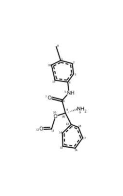 Cc1ccc(NC(=O)[C@](N)(OC=O)c2ccccc2)cc1